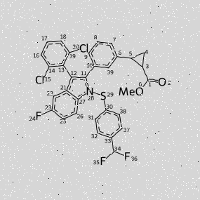 COC(=O)C1CC1c1cccc(-c2c(-c3c(Cl)cccc3Cl)c3cc(F)ccc3n2Sc2ccc(C(F)F)cc2)c1